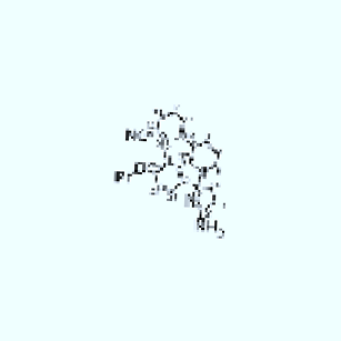 Cc1cc(C2(c3cccc(-c4cccc(C#N)c4)c3)CCC(N)=N2)ccc1OC(C)C